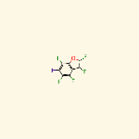 Fc1c(F)c2c(c(F)c1I)OC(F)C2F